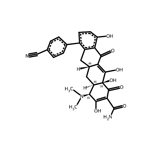 CN(C)[C@@H]1C(O)=C(C(N)=O)C(=O)[C@@]2(O)C(O)=C3C(=O)c4c(O)ccc(-c5ccc(C#N)cc5)c4C[C@H]3C[C@H]12